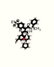 CCS(=O)(=O)c1ccc2c(C(=O)N[C@@H](C)c3ccccc3)c(CN3CCC(N4CCCCC4)CC3)c(-c3cccc(CF)c3)nc2c1